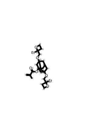 C=C(C)C(=O)OC12CC3CC(OCC4(CC)CCO4)(CC(OCC4(CC)CCO4)(C3)C1)C2